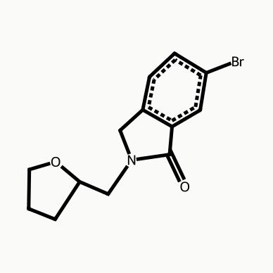 O=C1c2cc(Br)ccc2CN1CC1CCCO1